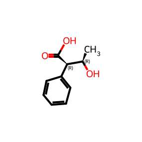 C[C@@H](O)[C@H](C(=O)O)c1ccccc1